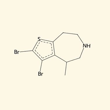 CC1CNCCc2sc(Br)c(Br)c21